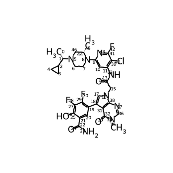 C[C@@H](C1CC1)N1CCN(c2cc(NC(=O)Cn3cc(-c4cc(C(N)=O)c(O)c(F)c4F)c4c(=O)n(C)cnc43)c(Cl)c(F)n2)[C@@H](C)C1